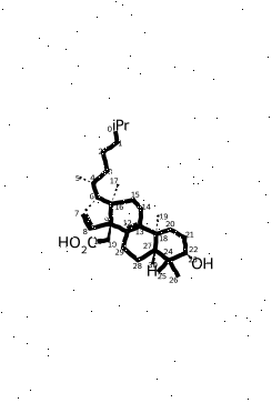 CC(C)CCC[C@@H](C)[C@H]1C=C[C@@]2(CC(=O)O)C3=C(CC[C@]12C)[C@@]1(C)CC[C@H](O)C(C)(C)[C@@H]1CC3